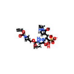 CC(C)C[C@H](NC(=O)OCC1CN(C(=O)OC(C)(C)C)C1)C(=O)N[C@@H](C[C@H]1CCNC1=O)C(O)S(=O)(=O)[O-].[Na+]